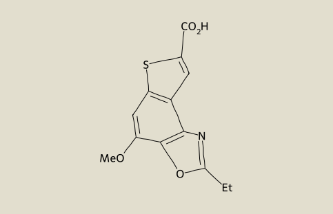 CCc1nc2c(o1)c(OC)cc1sc(C(=O)O)cc12